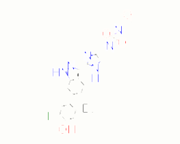 CCc1cc(O)c(F)cc1-c1ccc2c(-c3nc4c([nH]3)CCN(S(=O)(=O)N3CCOCC3)C4)n[nH]c2c1